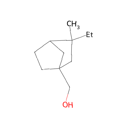 CCC1(C)CC2(CO)CCC1C2